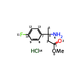 COC(=O)CC(C)(N)c1ccc(F)cc1.Cl